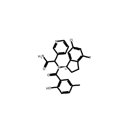 Cc1ccc(O)c(C(=O)N(C(C(N)=O)c2cccnc2)[C@@H]2CCc3c(F)cc(Cl)cc32)c1